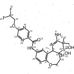 CC1(C)C(N)=N[C@]2(C)c3cc(NC(=O)c4cnc(OCC(F)F)cn4)ccc3OCC[C@H]2S1(O)O